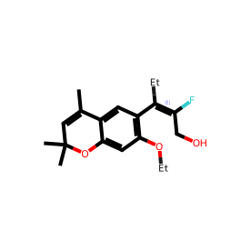 CCOc1cc2c(cc1/C(CC)=C(/F)CO)C(C)=CC(C)(C)O2